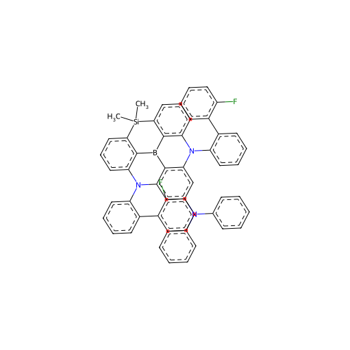 C[Si]1(C)c2cccc3c2B2c4c(cc(N(c5ccccc5)c5ccccc5)cc4N(c4ccccc4-c4ccccc4F)c4cccc1c42)N3c1ccccc1-c1ccccc1F